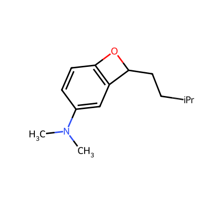 CC(C)CCC1Oc2ccc(N(C)C)cc21